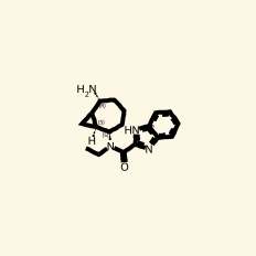 CCN(C(=O)c1nc2ccccc2[nH]1)[C@H]1CCC[C@@H](N)C2C[C@@H]21